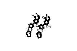 Cn1ccc2cc(O)c(-c3cc(Oc4cc5ccn(C)c(=O)c5cc4-c4ccc(O[C@@H]5CC6CCC(N6)[C@@H]5F)nn4)c(O[C@H]4CC5CCC(N5)[C@H]4F)nn3)cc2c1=O